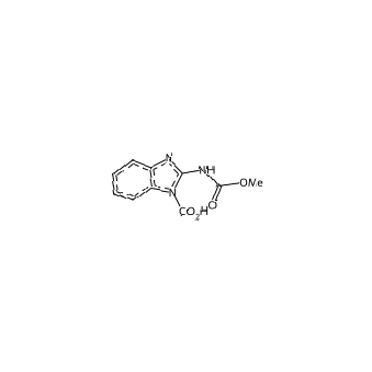 COC(=O)Nc1nc2ccccc2n1C(=O)O